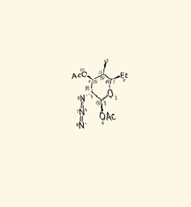 CC[C@H]1O[C@@H](OC(C)=O)[C@H](N=[N+]=[N-])[C@@H](OC(C)=O)[C@H]1C